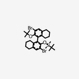 CC(C)(C)Oc1c(Br)cc2c(c1-c1c3c(cc(Br)c1O[Si](C)(C)C(C)(C)C)CCCC3)CCCC2